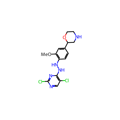 COc1cc(C2CNCCO2)ccc1NNc1nc(Cl)ncc1Cl